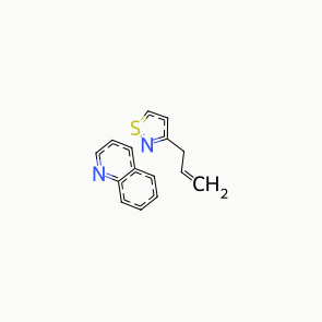 C=CCc1ccsn1.c1ccc2ncccc2c1